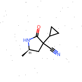 C[C@@H]1CC(C#N)(C2CC2)C(=O)N1